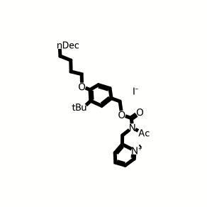 CCCCCCCCCCCCCCOc1ccc(COC(=O)N(Cc2cccc[n+]2C)C(C)=O)cc1C(C)(C)C.[I-]